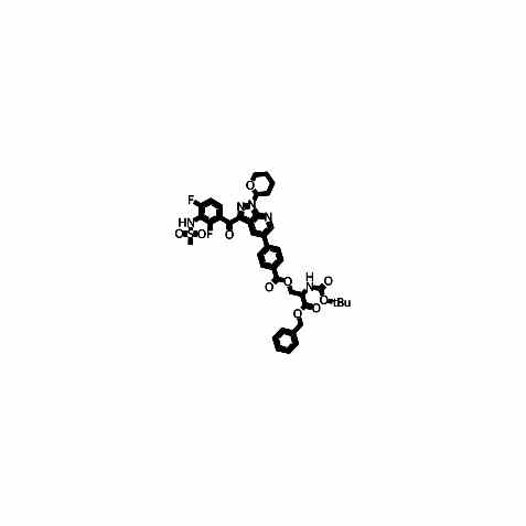 CC(C)(C)OC(=O)NC(COC(=O)c1ccc(-c2cnc3c(c2)c(C(=O)c2ccc(F)c(NS(C)(=O)=O)c2F)nn3C2CCCCO2)cc1)C(=O)OCc1ccccc1